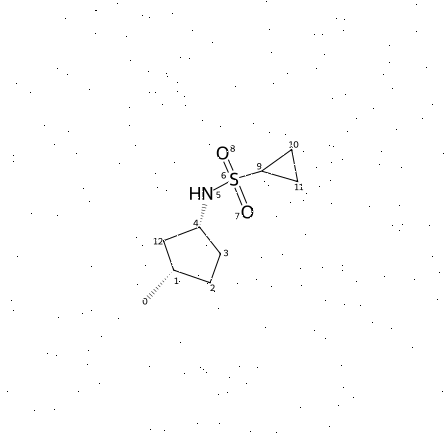 C[C@H]1CC[C@@H](NS(=O)(=O)C2CC2)C1